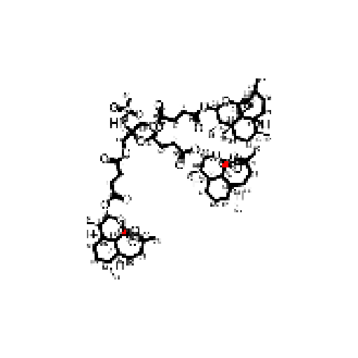 C[C@H]1[C@H](OC(=O)CCC(=O)OCC(COC(=O)CCC(=O)O[C@H]2O[C@H]3OC4(C)CC[C@@H]5[C@@H](C)CC[C@](C)([C@@H]2C)[C@]35OO4)(NS(C)(=O)=O)OC(=O)CCC(=O)O[C@@H]2O[C@@H]3OC4(C)CC[C@H]5[C@H](C)CC[C@@H]([C@H]2C)[C@@]35OO4)O[C@@H]2OC3(C)CC[C@H]4[C@H](C)CC[C@@H]1[C@@]24OO3